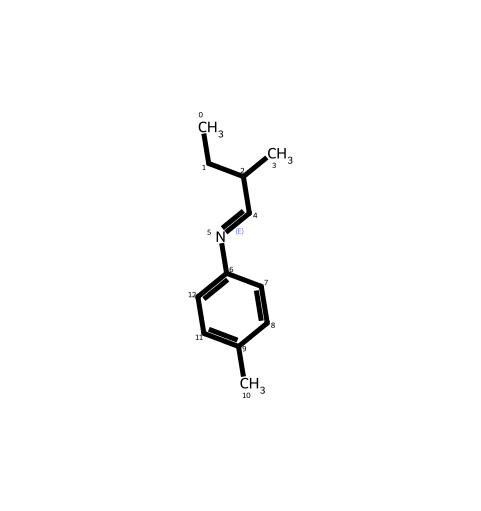 CCC(C)/C=N/c1ccc(C)cc1